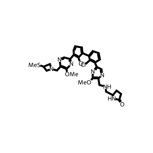 COc1nc(-c2cccc(-c3cccc(-c4cnc(CN5CC(SC)C5)c(OC)n4)c3Cl)c2Cl)cnc1CNCC1CCC(=O)N1